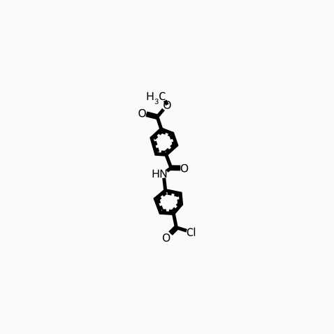 COC(=O)c1ccc(C(=O)Nc2ccc(C(=O)Cl)cc2)cc1